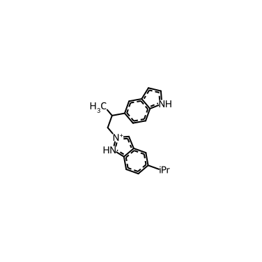 CC(C)c1ccc2[nH][n+](CC(C)c3ccc4[nH]ccc4c3)cc2c1